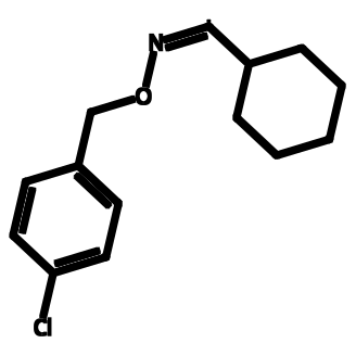 Clc1ccc(CO/N=[C]\C2CCCCC2)cc1